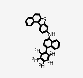 [2H]c1c([2H])c([2H])c(-c2ccc(Nc3ccc4c(c3)sc3ccc5ccccc5c34)c3ccccc23)c([2H])c1[2H]